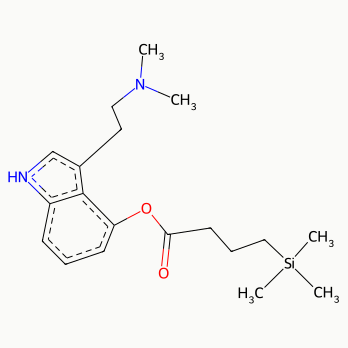 CN(C)CCc1c[nH]c2cccc(OC(=O)CCC[Si](C)(C)C)c12